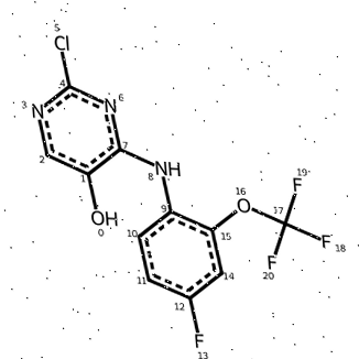 Oc1cnc(Cl)nc1Nc1ccc(F)cc1OC(F)(F)F